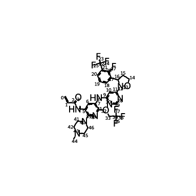 C=CC(=O)Nc1cc(Nc2cc(N3OCCC3c3cccc(C(F)(F)F)c3F)ncn2)c(OCC(F)(F)F)nc1N1CCN(C)CC1